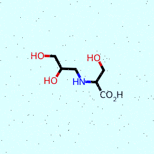 O=C(O)C(CO)NCC(O)CO